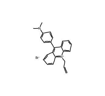 C=CC[n+]1c2ccccc2c(-c2ccc(N(C)C)cc2)c2ccccc21.[Br-]